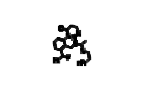 CCC/C=C\N=C(/C)SCc1c(C(F)CC)cccc1N1N=NCCC1=O